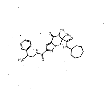 CC(CNC(=O)c1cc2n(n1)CC(C)(C(=O)NC1CCCCCC1)N(C)C2=O)c1ccccc1